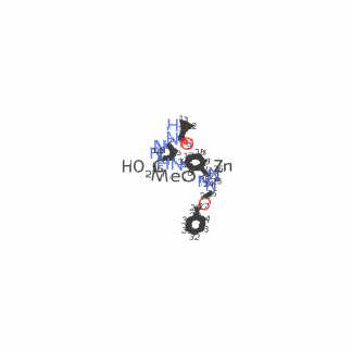 COc1c(Nc2cc(NC(=O)C3CC3)nnc2C(=O)O)cccc1-c1ncn(CCOCc2ccccc2)n1.[Zn]